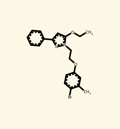 CCOc1cc(-c2ccccc2)nn1CCOc1ccc(Br)c(C)c1